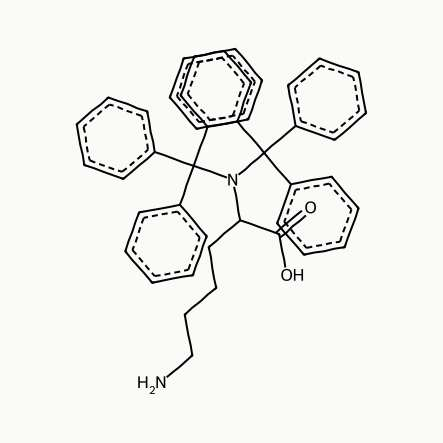 NCCCCC(C(=O)O)N(C(c1ccccc1)(c1ccccc1)c1ccccc1)C(c1ccccc1)(c1ccccc1)c1ccccc1